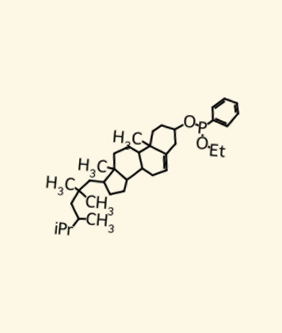 CCOP(OC1CCC2(C)C(=CCC3C2CCC2(C)C(CC(C)(C)CC(C)C(C)C)CCC32)C1)c1ccccc1